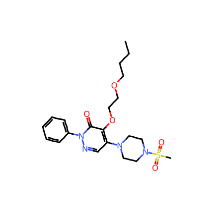 CCCCOCCOc1c(N2CCN(S(C)(=O)=O)CC2)cnn(-c2ccccc2)c1=O